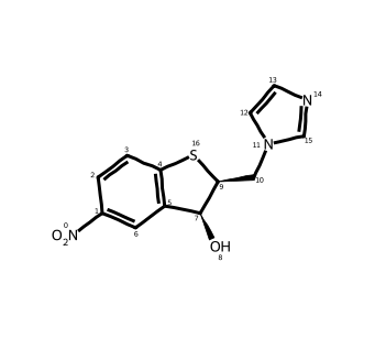 O=[N+]([O-])c1ccc2c(c1)[C@H](O)[C@H](Cn1ccnc1)S2